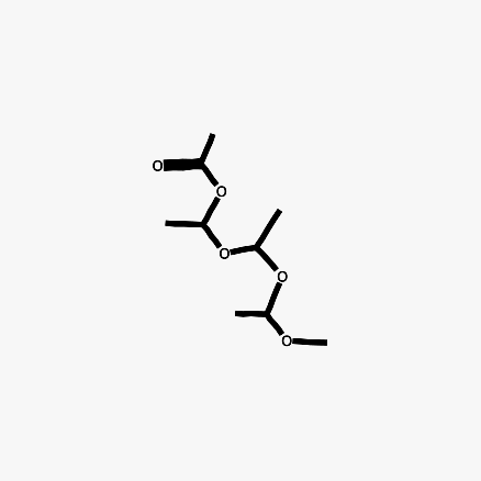 COC(C)OC(C)OC(C)OC(C)=O